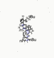 CCC\C=C(CCCC)/C(=C/C(CC)=C1\CCCO\C1=C(C)/C(CCC)=C1\CCCC\C1=C(\C)c1scc(C)c1SCCC(C)CC)C1CC1